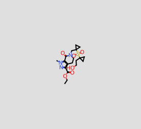 CCOC(=O)c1nn(C)c2c1CCN(CC1(S(=O)(=O)C3(CCO)CC3)CC1)C2=O